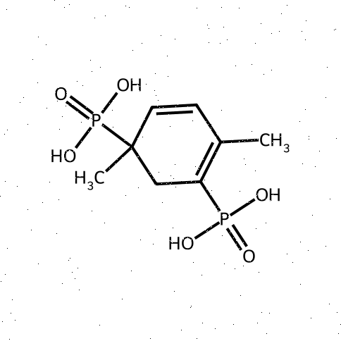 CC1=C(P(=O)(O)O)CC(C)(P(=O)(O)O)C=C1